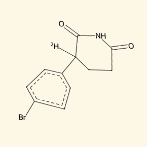 [2H]C1(c2ccc(Br)cc2)CCC(=O)NC1=O